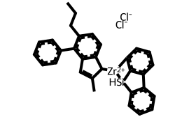 CCCc1ccc2c(c1-c1ccccc1)C=C(C)[CH]2[Zr+2]1[c]2cccc3c2[SiH]1c1ccccc1-3.[Cl-].[Cl-]